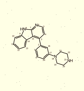 c1cc(-c2ccnc3[nH]c4ccccc4c23)cc(N2CCNCC2)c1